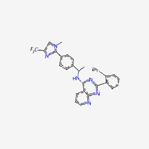 CC(C)c1ccccc1-c1nc(NC(C)c2ccc(-c3nc(C(F)(F)F)cn3C)cc2)c2cccnc2n1